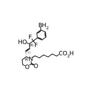 Bc1cccc(C(F)(F)[C@H](O)/C=C/[C@H]2CCOC(=O)N2CCCCCCC(=O)O)c1